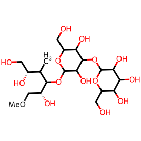 COC[C@@H](O)C(OC1OC(CO)C(O)C(OC2OC(CO)C(O)C(O)C2O)C1O)C(C)[C@H](O)CO